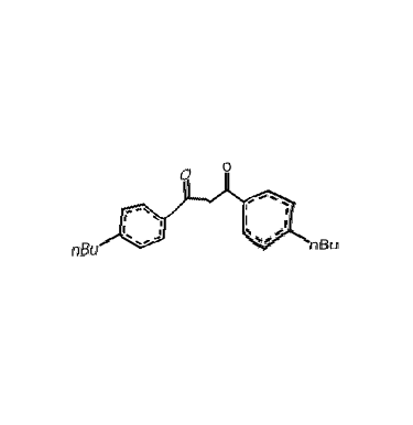 CCCCc1ccc(C(=O)CC(=O)c2ccc(CCCC)cc2)cc1